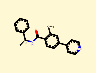 COc1cc(-c2ccncc2)ccc1C(=O)N[C@@H](C)c1ccccc1